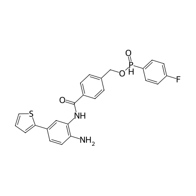 Nc1ccc(-c2cccs2)cc1NC(=O)c1ccc(CO[PH](=O)c2ccc(F)cc2)cc1